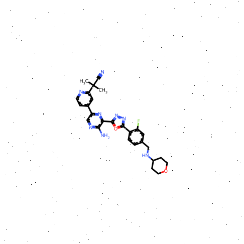 CC(C)(C#N)c1cc(-c2cnc(N)c(-c3nnc(-c4ccc(CNC5CCOCC5)cc4F)o3)n2)ccn1